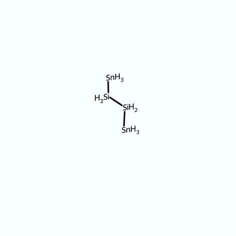 [SnH3][SiH2][SiH2][SnH3]